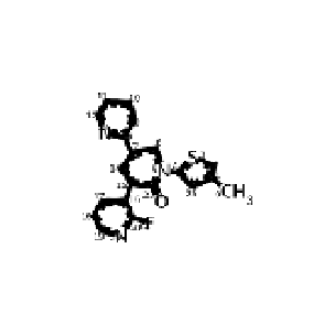 Cc1csc(-n2cc(-c3ccccn3)cc(-c3cccnc3F)c2=O)c1